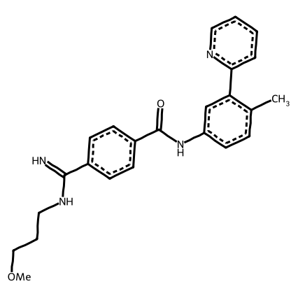 COCCCNC(=N)c1ccc(C(=O)Nc2ccc(C)c(-c3ccccn3)c2)cc1